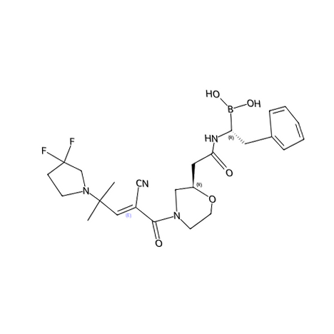 CC(C)(/C=C(\C#N)C(=O)N1CCO[C@H](CC(=O)N[C@@H](Cc2ccccc2)B(O)O)C1)N1CCC(F)(F)C1